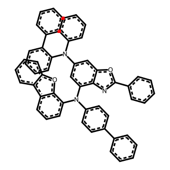 c1ccc(-c2ccc(N(c3cc(N(c4ccccc4)c4ccccc4-c4ccccc4)cc4oc(-c5ccccc5)nc34)c3cccc4c3oc3ccccc34)cc2)cc1